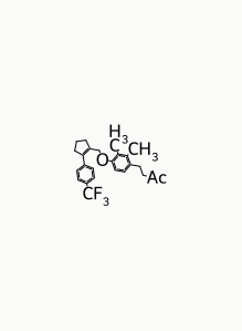 CC(=O)CCc1ccc(OCC2=C(c3ccc(C(F)(F)F)cc3)CCC2)c(C)c1C